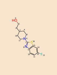 OCCC1CCN(c2nc3ccc(F)cc3s2)CC1